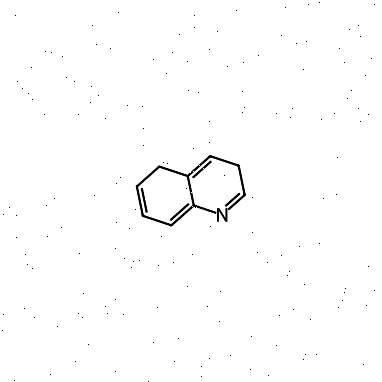 C1=CCC2=CCC=NC2=C1